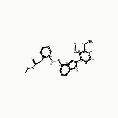 CCOC(=O)Cc1ccccc1OCc1cccc2oc(-c3ccnc(CN)c3OC)cc12